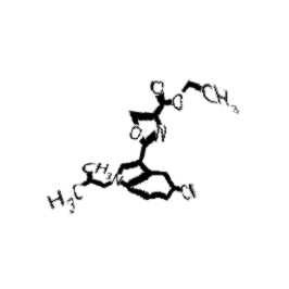 CCOC(=O)c1coc(-c2cn(CC(C)C)c3ccc(Cl)cc23)n1